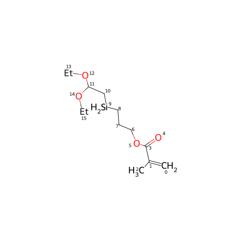 C=C(C)C(=O)OCCC[SiH2]CC(OCC)OCC